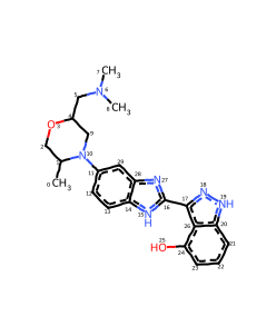 CC1COC(CN(C)C)CN1c1ccc2[nH]c(-c3n[nH]c4cccc(O)c34)nc2c1